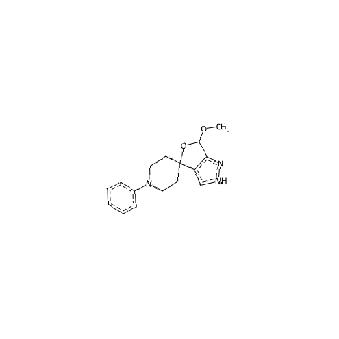 COC1OC2(CCN(c3ccccc3)CC2)c2c[nH]nc21